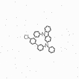 Clc1ccc(-c2cccc(N(c3ccccc3)c3ccc4c5ccccc5n(-c5ccccc5)c4c3)c2)cc1